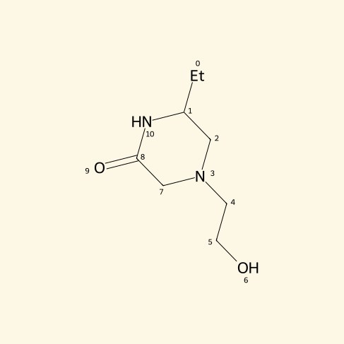 CCC1CN(CCO)CC(=O)N1